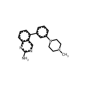 CN1CCN(c2cccc(-c3cccc4nc(N)ncc34)c2)CC1